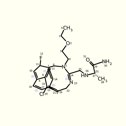 CCOCCN1C/C=C(C2=C\C(F)C=CC(F)/C=C\2)\C(Cl)=C/C/N=C\1CN[C@@H](C)C(N)=O